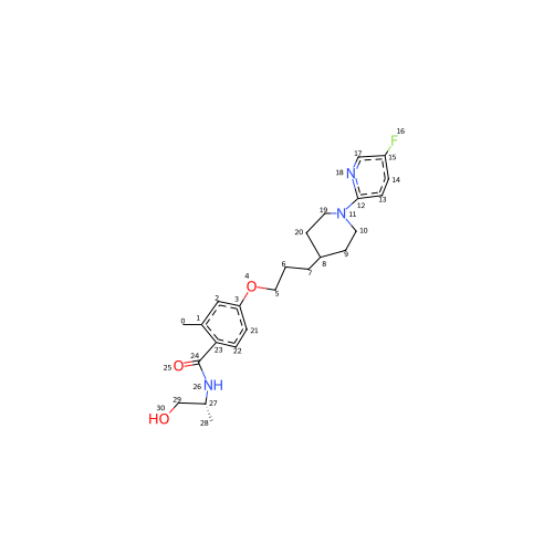 Cc1cc(OCCCC2CCN(c3ccc(F)cn3)CC2)ccc1C(=O)N[C@H](C)CO